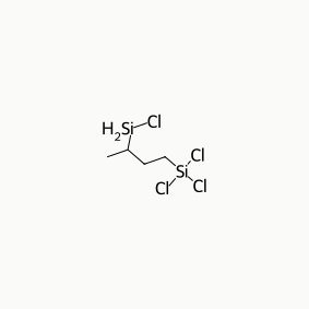 CC(CC[Si](Cl)(Cl)Cl)[SiH2]Cl